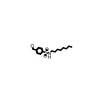 CCCCCCCCNS(=O)(=O)c1ccc(C=O)cc1